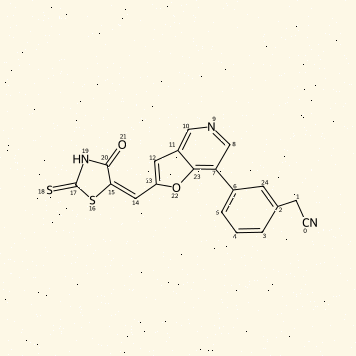 N#CCc1cccc(-c2cncc3cc(C=C4SC(=S)NC4=O)oc23)c1